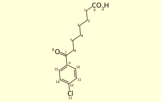 O=C(O)CCCCCCC(=O)c1ccc(Cl)cc1